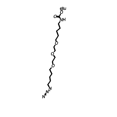 CC(C)(C)OC(=O)NCCCCCOCCOCCOCCCCCN=[N+]=[N-]